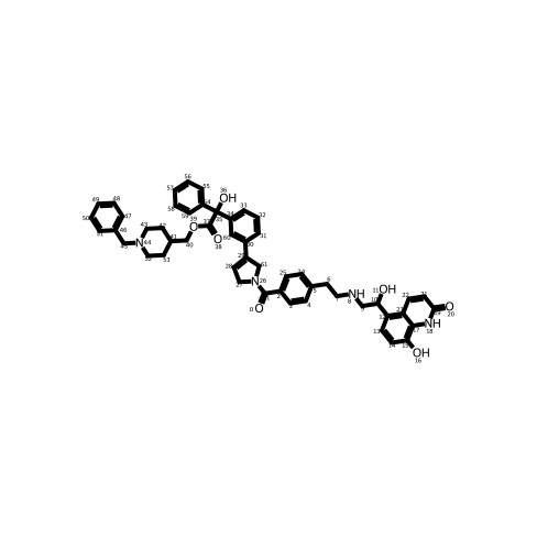 O=C(c1ccc(CCNCC(O)c2ccc(O)c3[nH]c(=O)ccc23)cc1)N1CC=C(c2cccc(C(O)(C(=O)OCC3CCN(Cc4ccccc4)CC3)c3ccccc3)c2)C1